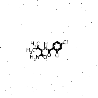 CC(C)[C@H](NC(=O)c1ccc(Cl)cc1Cl)C(N)=O